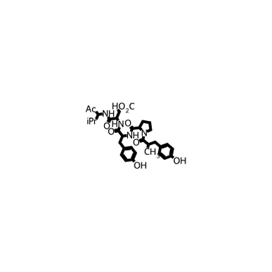 CC(=O)C(NC(=O)C(CC(=O)O)NC(=O)C(Cc1ccc(O)cc1)NC(=O)C1CCCN1C(=O)C(C)Cc1ccc(O)cc1)C(C)C